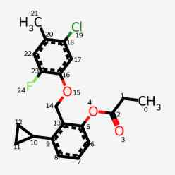 CCC(=O)Oc1cccc(C2CC2)c1COc1cc(Cl)c(C)cc1F